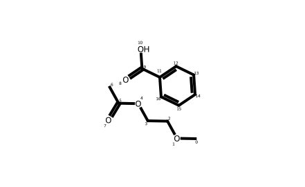 COCCOC(C)=O.O=C(O)c1ccccc1